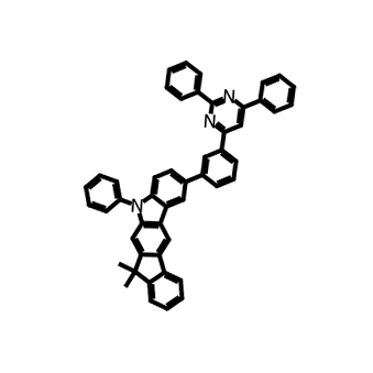 CC1(C)c2ccccc2-c2cc3c4cc(-c5cccc(-c6cc(-c7ccccc7)nc(-c7ccccc7)n6)c5)ccc4n(-c4ccccc4)c3cc21